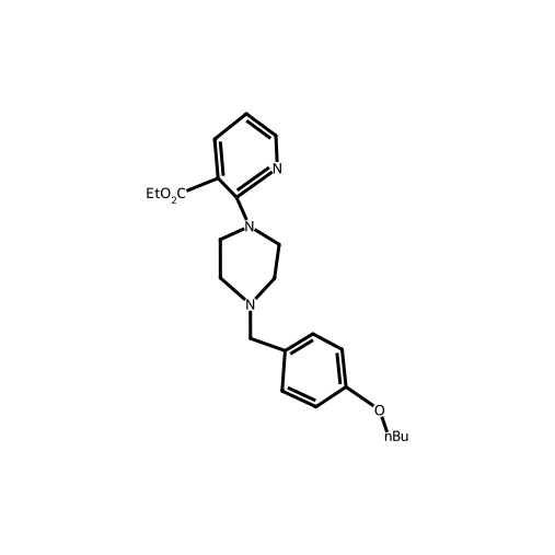 CCCCOc1ccc(CN2CCN(c3ncccc3C(=O)OCC)CC2)cc1